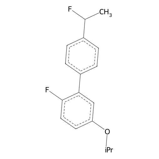 CC(C)Oc1ccc(F)c(-c2ccc(C(C)F)cc2)c1